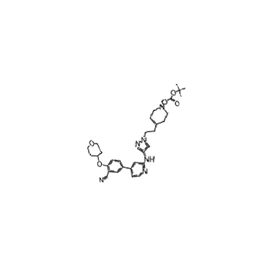 CC(C)(C)OC(=O)ON1CCC(CCn2cc(Nc3cc(-c4ccc(OC5CCOCC5)c(C#N)c4)ccn3)cn2)CC1